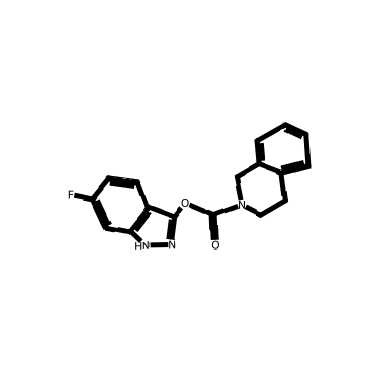 O=C(Oc1n[nH]c2cc(F)ccc12)N1CCc2ccccc2C1